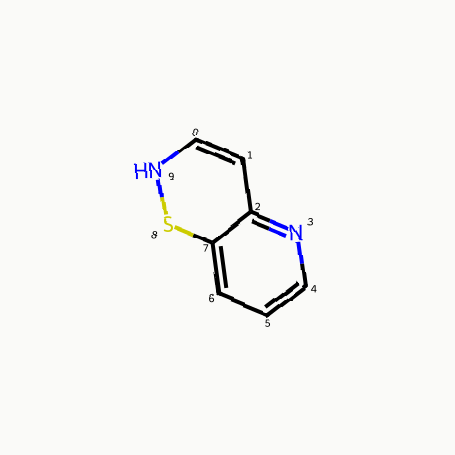 C1=Cc2ncccc2SN1